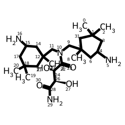 CC1(C)CC(N)CC(C)(CN(CC2(C)CC(N)CC(C)(C)C2)C(=O)[C@H](O)[C@@H](O)C(N)=O)C1